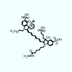 COCCN1/C(=C/C=C/C=C/C=C/C2=[N+](CCCCCC(=O)NN)c3ccc(S(=O)(=O)O)cc3C2(C)CCCS(=O)(=O)O)C(C)(CCCS(=O)(=O)O)c2cc(S(=O)(=O)O)ccc21